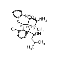 CC(C)C[C@H](O)C(=O)N([C@@H]1C(=O)Nc2ccccc2S[C@@H]1c1ccccc1Cl)[C@@H](C)C(N)=O